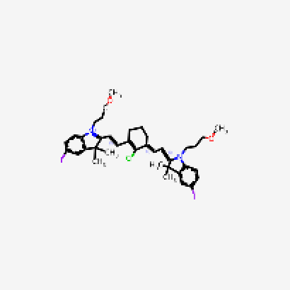 COCCCN1/C(=C/C=C2\CCCC(/C=C/C3=[N+](CCCOC)c4ccc(I)cc4C3(C)C)=C2Cl)C(C)(C)c2cc(I)ccc21